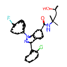 CC(O)CC(C)(C)NC(=O)c1ccc2c(-c3ccccc3Cl)nn(-c3ccc(F)cc3)c2c1